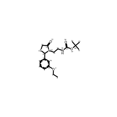 CCOc1cccc(C2SCC(=O)N2CCNC(=O)OC(C)(C)C)c1